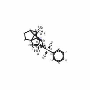 CC12CCC([C@H](Br)/C1=N/NS(=O)(=O)c1ccccc1)C2(C)CS(=O)(=O)O